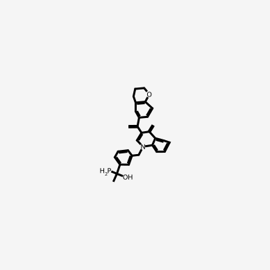 C=C(C1=CN(Cc2cccc(C(C)(O)P)c2)c2ccccc2C1=C)c1ccc2c(c1)CCCO2